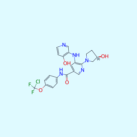 O=C(Nc1ccc(OC(F)(F)Cl)cc1)c1cnc(N2CC[C@@H](O)C2)c(Nc2cnccc2O)c1